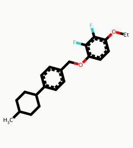 CCOc1ccc(OCc2ccc(C3CCC(C)CC3)cc2)c(F)c1F